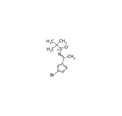 CC(=N[S@+]([O-])C(C)(C)C)c1cc(Br)cs1